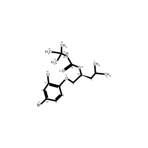 CC(C)C[C@@H](COc1ccc(Br)cc1Cl)OC(=O)NC(C)(C)C